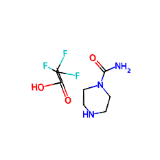 NC(=O)N1CCNCC1.O=C(O)C(F)(F)F